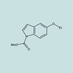 CCOc1ccc2c(ccn2C(=O)OC)c1